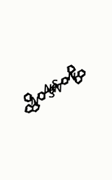 c1ccc(N(c2ccc(-c3nc4sc(-c5ccc(N(c6ccccc6)c6cccc7ccccc67)cc5)nc4s3)cc2)c2cccc3ccccc23)cc1